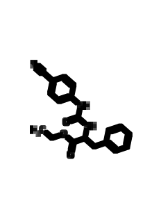 CCOC(=O)C(Cc1ccccc1)NC(=O)Nc1ccc(C#N)cc1